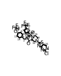 O=C(NCc1ccc(OC(F)(F)F)cc1)[C@H]1CN(c2nc3nc(Cl)ncc3s2)CCN1S(=O)(=O)c1ccc(C(F)(F)F)s1